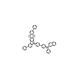 c1ccc(-c2ccc3c(c2)Oc2cc4c(cc2O3)c2cc(-c3ccccc3)ccc2n4-c2ccc(-c3ccc(N(c4ccccc4)c4ccc5ccccc5c4)cc3)cc2)cc1